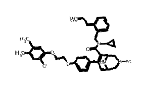 CC(=O)N1CC2CC(c3ccc(OCCOc4cc(C)c(C)cc4Cl)cc3)=C(C(=O)N(Cc3ccccc3CCO)C3CC3)C(C1)N2